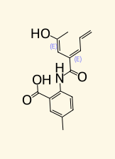 C=C/C=C(\C=C(/C)O)C(=O)Nc1ccc(C)cc1C(=O)O